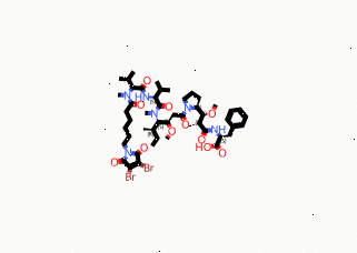 CC[C@@H](C)[C@@H]([C@@H](CC(=O)N1CCC[C@H]1[C@H](OC)[C@@H](C)C(=O)N[C@@H](Cc1ccccc1)C(=O)O)OC)N(C)C(=O)[C@@H](NC(=O)C(C(C)C)N(C)C(=O)CCCCCN1C(=O)C(Br)=C(Br)C1=O)C(C)C